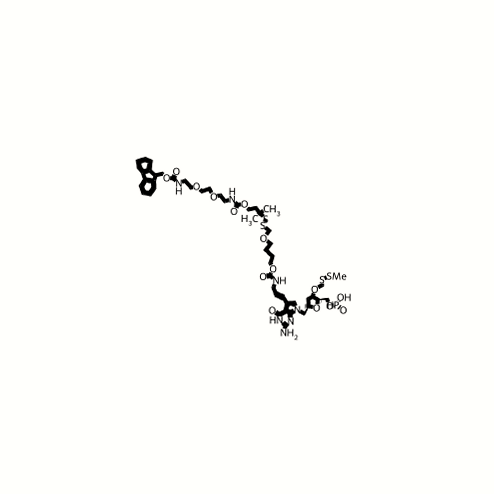 CSSCOC1C[C@H](Cn2cc(C#CCNC(=O)OCCCCOCSSC(C)(C)CCOC(=O)NCCOCCOCCNC(=O)OCC3c4ccccc4-c4ccccc43)c3c(=O)[nH]c(N)nc32)O[C@@H]1CO[PH](=O)O